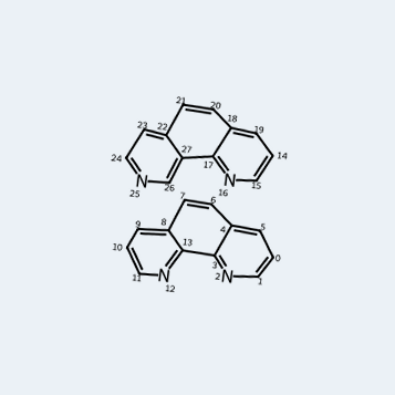 c1cnc2c(c1)ccc1cccnc12.c1cnc2c(c1)ccc1ccncc12